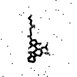 C[C@@H]1Cc2c([nH]c3ccccc23)C(c2c(F)cc(NCCNCCCF)cc2F)N1CC(F)F